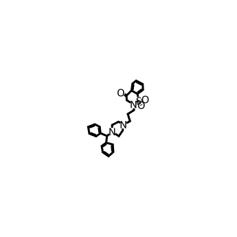 O=C1CN(CCCN2CCN(C(c3ccccc3)c3ccccc3)CC2)S(=O)(=O)c2ccccc21